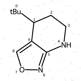 CC(C)(C)C1CCNc2nocc21